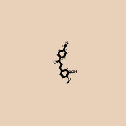 COc1ccc(C=CC(=O)c2ccc(C#N)cc2)cc1O